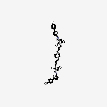 O=C1CN(/N=C/c2ccc(-c3ccc(Cl)cc3)o2)C(=O)N1CCCCN1CCN(CCCCN2C(=O)CN(/N=C/c3ccc(-c4ccc(Cl)cc4)o3)C2=O)CC1